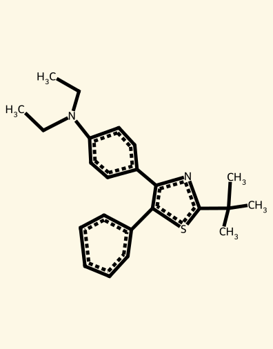 CCN(CC)c1ccc(-c2nc(C(C)(C)C)sc2-c2ccccc2)cc1